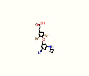 N#Cc1cc(COc2c(Br)cc(CCC(=O)O)cc2Br)cc(NC2CCC2)c1